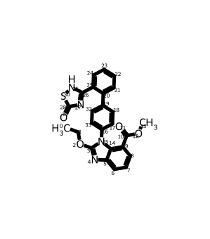 CCOc1nc2cccc(C(=O)OC)c2n1-c1ccc(-c2ccccc2-c2nc(=O)s[nH]2)cc1